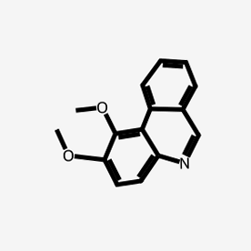 COc1ccc2ncc3ccccc3c2c1OC